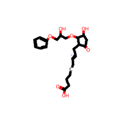 O=C(O)CCCCC/C=C/CC1C(=O)CC(O)C1OCC(O)COc1ccccc1